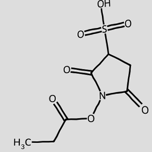 CCC(=O)ON1C(=O)CC(S(=O)(=O)O)C1=O